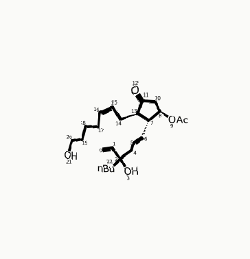 C=CC(O)(C/C=C/[C@H]1[C@H](OC(C)=O)CC(=O)[C@@H]1C/C=C\CCCCO)CCCC